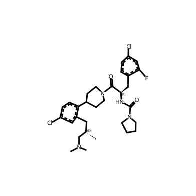 C[C@@H](Cc1cc(Cl)ccc1C1CCN(C(=O)[C@@H](Cc2ccc(Cl)cc2F)NC(=O)N2CCCC2)CC1)CN(C)C